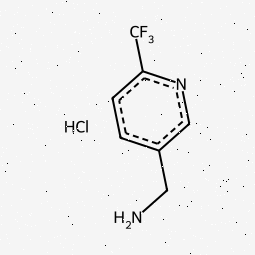 Cl.NCc1ccc(C(F)(F)F)nc1